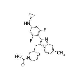 Cc1ccn2c(CC3CN(C(=O)O)CCO3)c(-c3c(F)cc(NC4CC4)cc3F)nc2c1